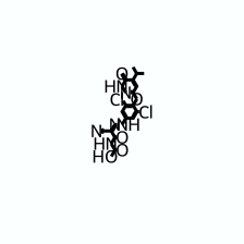 CC(C)c1cc(Oc2c(Cl)cc(NN=C(C#N)C(=O)NC(=O)O)cc2Cl)n[nH]c1=O